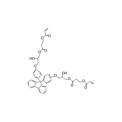 C=CC(=O)OCCC(=O)OCC(O)COc1ccc(C2(c3ccc(OCC(O)COC(=O)CCOC(=O)C=C)cc3)c3ccccc3-c3ccccc32)cc1